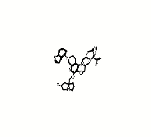 C=C(F)C(=O)N1CC2COc3c(OCC45CCCN4C[C@H](F)C5)nc4c(c3N2C[C@@H]1CC#N)CCN(c1cccc2sccc12)C4